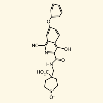 N#Cc1nc(C(=O)NCC2(C(=O)O)CC[S+]([O-])CC2)c(O)c2ccc(Oc3ccccc3)cc12